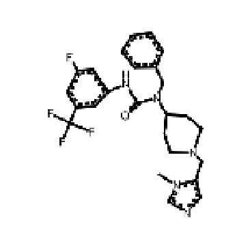 Cn1cncc1CN1CCC(N(Cc2ccccc2)C(=O)Nc2cc(F)cc(C(F)(F)F)c2)CC1